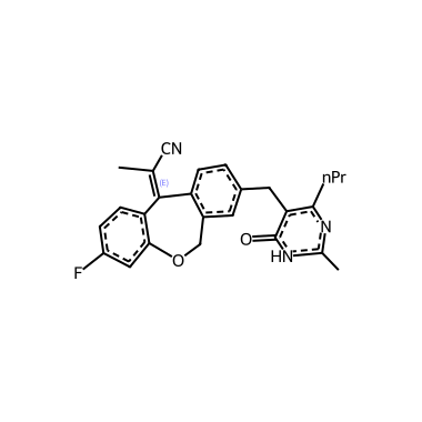 CCCc1nc(C)[nH]c(=O)c1Cc1ccc2c(c1)COc1cc(F)ccc1/C2=C(\C)C#N